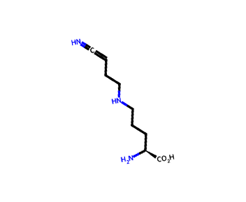 N=C=CCCNCCC[C@H](N)C(=O)O